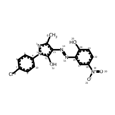 Cc1nn(-c2ccc(Cl)cc2)c(O)c1N=Nc1cc([N+](=O)[O-])ccc1O